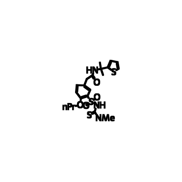 CCCOc1ccc(CC(=O)NC(C)(C)c2cccs2)cc1S(=O)(=O)NC(=S)NC